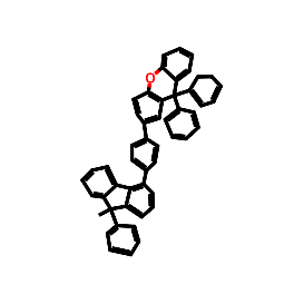 CC1(c2ccccc2)c2ccccc2-c2c(-c3ccc(-c4ccc5c(c4)C(C4=CC=CCC4)(c4ccccc4)c4ccccc4O5)cc3)cccc21